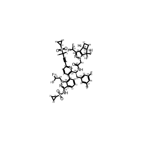 CC(C)(C#Cc1ccc(-c2cccc3c(NS(=O)(=O)C4CC4)nn(CC(F)F)c23)c([C@H](Cc2cc(F)cc(F)c2)NC(=O)Cn2nc(C(F)F)c3c2C(F)(F)[C@@H]2CC[C@H]32)n1)S(=O)(=O)C1CC1